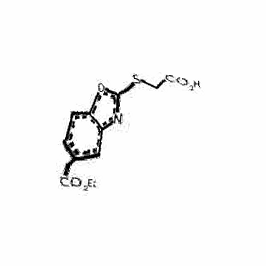 CCOC(=O)c1ccc2oc(SCC(=O)O)nc2c1